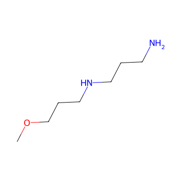 COCCCNCCCN